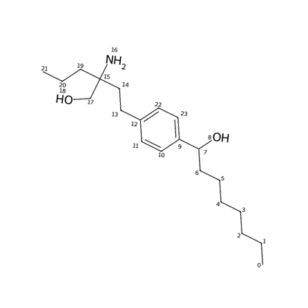 CCCCCCCC(O)c1ccc(CCC(N)(CO)CCC)cc1